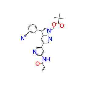 C=CC(=O)Nc1cncc(-c2cnc3c(c2)c(-c2cccc(C#N)c2)cn3COC(=O)C(C)(C)C)c1